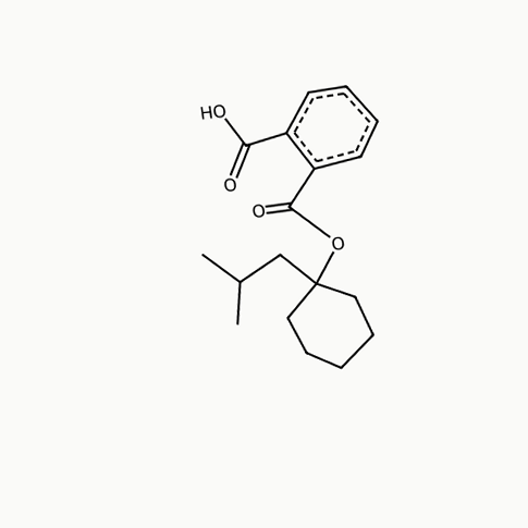 CC(C)CC1(OC(=O)c2ccccc2C(=O)O)CCCCC1